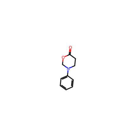 O=C1CCN(c2ccccc2)CO1